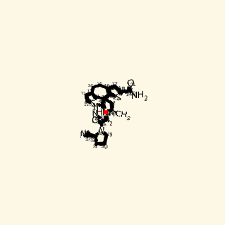 C[C@H](CC1(C(=N)/N=N\N)c2sccc2CCc2cc(C(N)=O)sc21)NCC(=O)N1CCCC1C#N